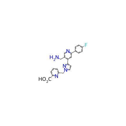 NCc1cnc(-c2ccc(F)cc2)cc1-c1ccn(Cc2cccc(C(=O)O)n2)n1